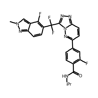 CC(C)NC(=O)c1ccc(-c2ccc3nnc(C(F)(F)c4ccc5nn(C)cc5c4F)n3n2)cc1F